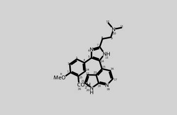 COc1ccc(-c2nc(CCN(C)C)[nH]c2-c2ccnc3[nH]ccc23)cc1C(=O)O